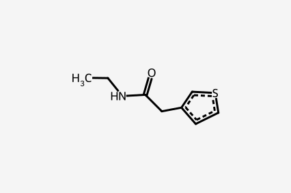 CCNC(=O)Cc1ccsc1